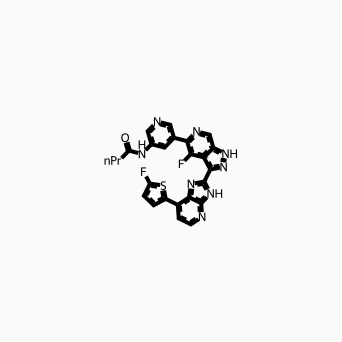 CCCC(=O)Nc1cncc(-c2ncc3[nH]nc(-c4nc5c(-c6ccc(F)s6)ccnc5[nH]4)c3c2F)c1